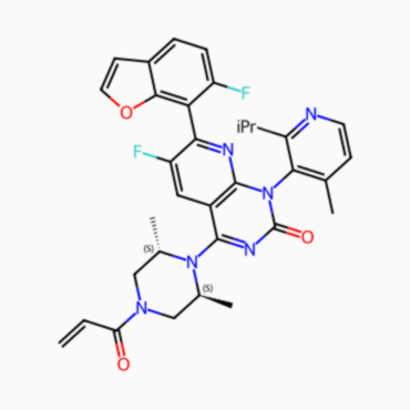 C=CC(=O)N1C[C@H](C)N(c2nc(=O)n(-c3c(C)ccnc3C(C)C)c3nc(-c4c(F)ccc5ccoc45)c(F)cc23)[C@@H](C)C1